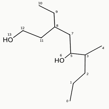 CCCC(C)C(O)CC(CC)CCO